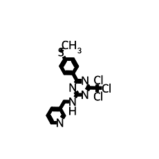 CSc1ccc(-c2nc(NCc3cccnc3)nc(C(Cl)(Cl)Cl)n2)cc1